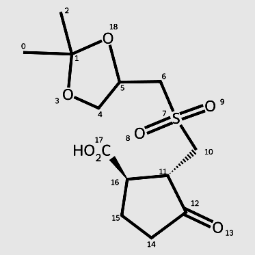 CC1(C)OCC(CS(=O)(=O)C[C@@H]2C(=O)CC[C@H]2C(=O)O)O1